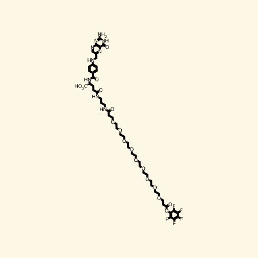 Nc1nc2ncc(CNc3ccc(C(=O)N[C@@H](CCC(=O)NCCCNC(=O)CCOCCOCCOCCOCCOCCOCCOCCOCCOCCC(=O)Oc4c(F)c(F)c(F)c(F)c4F)C(=O)O)cc3)nc2c(=O)[nH]1